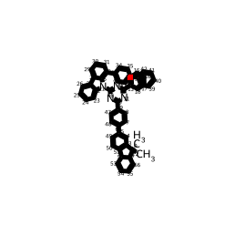 CC1(C)c2cc(-c3ccc(-c4nc(-c5ccccc5)nc(-n5c6ccccc6c6cccc(-c7ccc(-c8ccccc8)cc7)c65)n4)cc3)ccc2C2C=CC=CC21